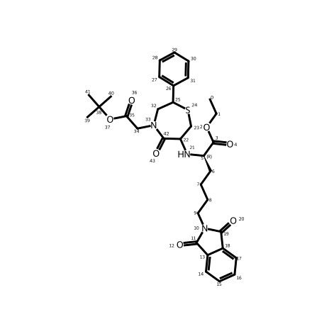 CCOC(=O)[C@@H](CCCCN1C(=O)c2ccccc2C1=O)NC1CSC(c2ccccc2)CN(CC(=O)OC(C)(C)C)C1=O